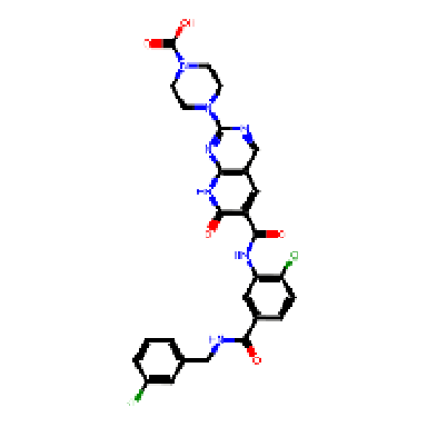 O=C(NCc1cccc(Cl)c1)c1ccc(Cl)c(NC(=O)c2cc3cnc(N4CCN(C(=O)O)CC4)nc3[nH]c2=O)c1